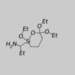 CCOC1(OCC)CCC[Si](OCC)(C(N)CC)O1